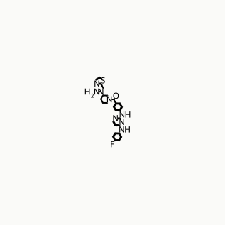 NN(Cc1nccs1)C1CCCN(C(=O)c2ccc(Nc3nccc(Nc4ccc(F)cc4)n3)cc2)C1